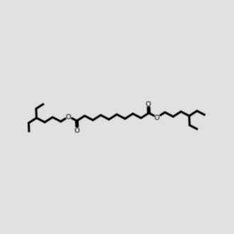 CCC(CC)CCCOC(=O)CCCCCCCCC(=O)OCCCC(CC)CC